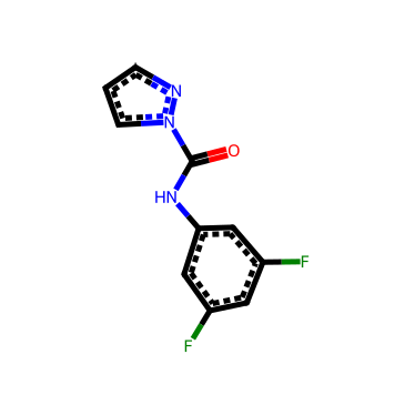 O=C(Nc1cc(F)cc(F)c1)n1cc[c]n1